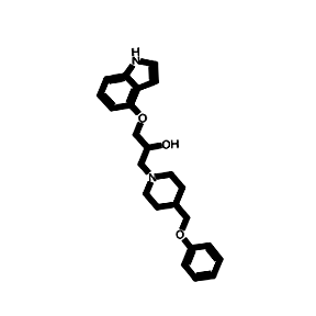 OC(COc1cccc2[nH]ccc12)CN1CCC(COc2ccccc2)CC1